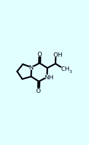 CC(O)C1NC(=O)C2CCCN2C1=O